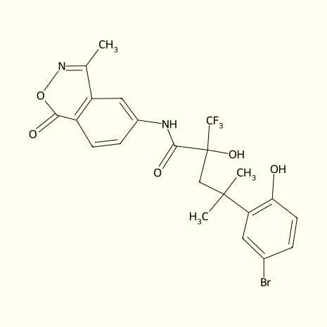 Cc1noc(=O)c2ccc(NC(=O)C(O)(CC(C)(C)c3cc(Br)ccc3O)C(F)(F)F)cc12